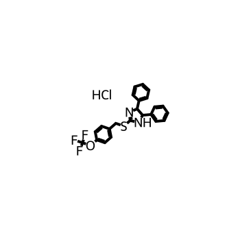 Cl.FC(F)(F)Oc1ccc(CSC2=NC(c3ccccc3)C(c3ccccc3)N2)cc1